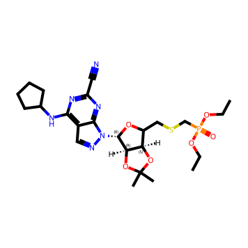 CCOP(=O)(CSCC1O[C@@H](n2ncc3c(NC4CCCC4)nc(C#N)nc32)[C@@H]2OC(C)(C)O[C@H]12)OCC